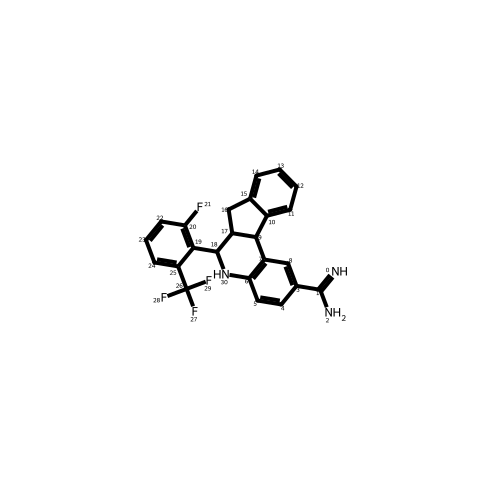 N=C(N)c1ccc2c(c1)C1c3ccccc3CC1C(c1c(F)cccc1C(F)(F)F)N2